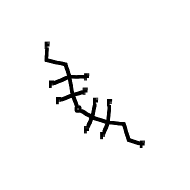 FCCC(F)(F)C(F)(F)OC(F)(F)C(F)(F)CCF